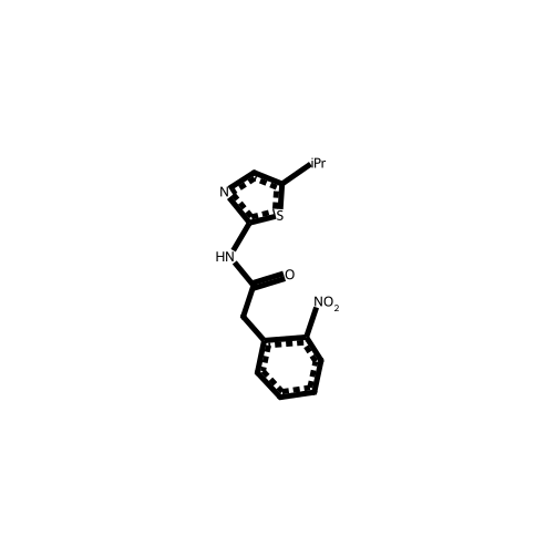 CC(C)c1cnc(NC(=O)Cc2ccccc2[N+](=O)[O-])s1